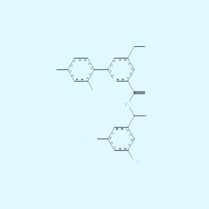 COc1cc(OC)cc(C(C)NC(=O)c2cc(CO)cc(-c3ccc(F)cc3C)n2)c1